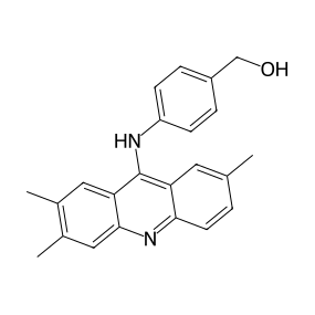 Cc1ccc2nc3cc(C)c(C)cc3c(Nc3ccc(CO)cc3)c2c1